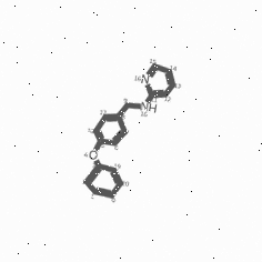 c1ccc(Oc2ccc(CNc3ccccn3)cc2)cc1